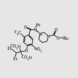 CCC(CC)C(Oc1cc(C(F)(F)F)c(C(=O)N(C(C)C)[C@@H]2CCCN(C(=O)OC(C)(C)C)C2)cc1[N+](=O)[O-])(C(=O)O)C(=O)O